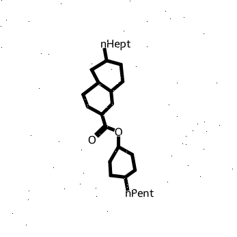 CCCCCCCC1CCC2CC(C(=O)OC3CCC(CCCCC)CC3)CCC2C1